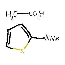 CC(=O)O.CNc1cccs1